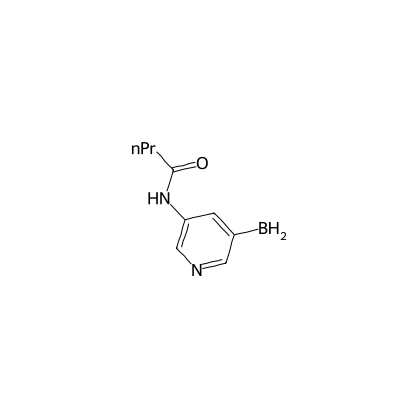 Bc1cncc(NC(=O)CCC)c1